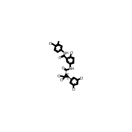 Cc1cc(NC(=O)c2cc(NC(=O)[C@@H]3[C@@H](c4cc(Cl)cc(Cl)c4)C3(Cl)Cl)ccc2Cl)ccc1Cl